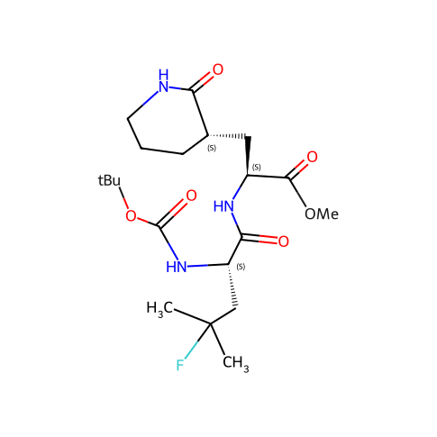 COC(=O)[C@H](C[C@@H]1CCCNC1=O)NC(=O)[C@H](CC(C)(C)F)NC(=O)OC(C)(C)C